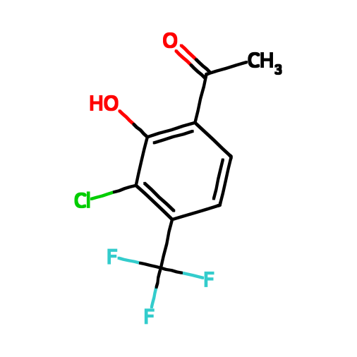 CC(=O)c1ccc(C(F)(F)F)c(Cl)c1O